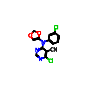 N#Cc1c(Cl)ncnc1N(C1=COCO1)c1cccc(Cl)c1